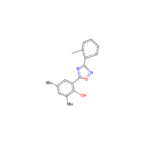 Cc1ccccc1-c1noc(-c2cc(C(C)(C)C)cc(C(C)(C)C)c2O)n1